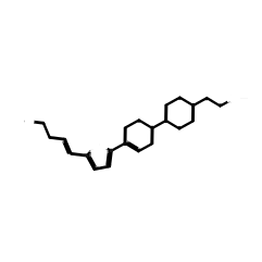 CCCC=Cc1ccc(C2=CCC(C3CCC(CCC)CC3)CC2)[se]1